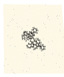 C[Si]1(C)c2cc(-n3c4ccccc4c4ccc5c(c6ccccc6n5-c5ccccc5)c43)ccc2-c2nc(-c3ccccc3)nc(-c3ccccc3)c21